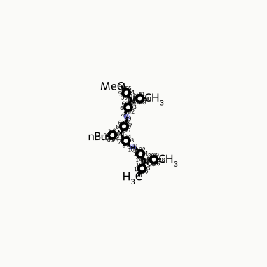 CCCCc1ccc(N(c2ccc(/C=C/c3ccc(N(c4ccc(C)cc4)c4ccc(C)cc4)cc3)cc2)c2ccc(/C=C/c3ccc(N(c4ccc(C)cc4)c4ccc(OC)cc4)cc3)cc2)cc1